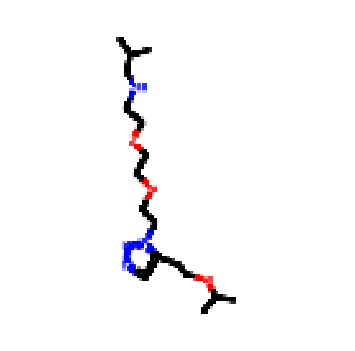 CC(C)CNCCOCCOCCn1nncc1CCOC(C)C